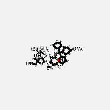 COc1ccc(C(Nc2nc3c(ncn3[C@@H]3OC(CO)(CO)[C@@H](O[Si](C)(C)C(C)(C)C)[C@@H]3F)c(=O)[nH]2)(c2ccccc2)c2ccccc2)cc1